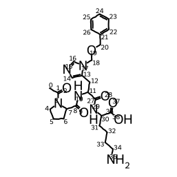 CC(=O)N1CCCC1C(=O)NC(Cc1cncn1COCc1ccccc1)C(=O)NC(CCCCN)C(=O)O